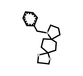 c1ccc(CN2CCCC23CCC2(CC3)OCCO2)cc1